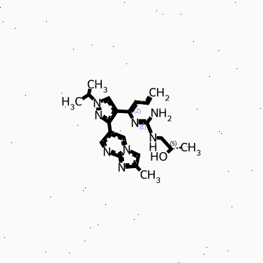 C=C/C=C(\N=C(/N)NC[C@H](C)O)c1cn(C(C)C)nc1-c1cnc2nc(C)cn2c1